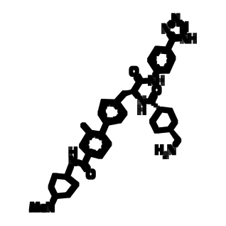 CNC1CCC(NC(=O)c2ccc(-c3ccc(C[C@H](NC(=O)[C@H]4CC[C@H](CN)CC4)C(=O)Nc4ccc(-c5nnn[nH]5)cc4)cc3)c(C)c2)CC1